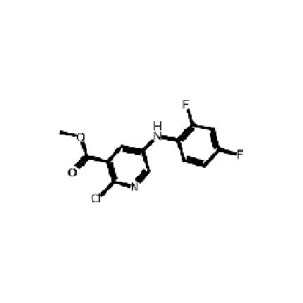 COC(=O)c1cc(Nc2ccc(F)cc2F)cnc1Cl